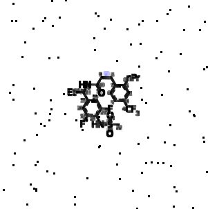 CCCc1cc(C(F)(F)F)ccc1/C=C\C(=O)N[C@H](CC)c1cc(F)c(NS(C)(=O)=O)c(F)c1